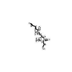 C=C/C=C/C(=O)NCC(O)CN(C)CCC